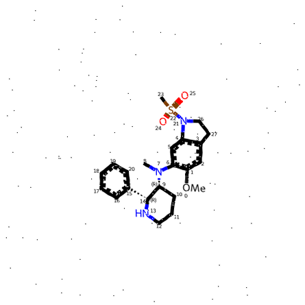 COc1cc2c(cc1N(C)[C@@H]1CCCN[C@@H]1c1ccccc1)N(S(C)(=O)=O)CC2